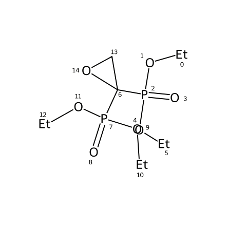 CCOP(=O)(OCC)C1(P(=O)(OCC)OCC)CO1